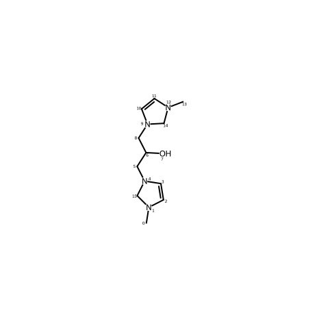 CN1C=CN(CC(O)CN2C=CN(C)C2)C1